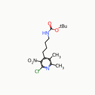 Cc1nc(Cl)c([N+](=O)[O-])c(CCCCNC(=O)OC(C)(C)C)c1C